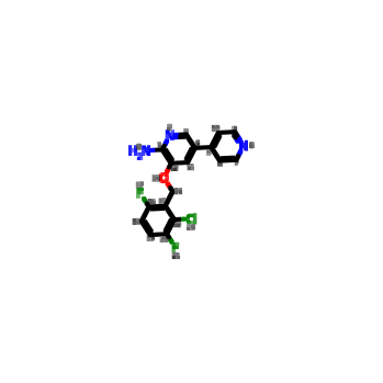 Nc1ncc(-c2ccncc2)cc1OCc1c(F)ccc(F)c1Cl